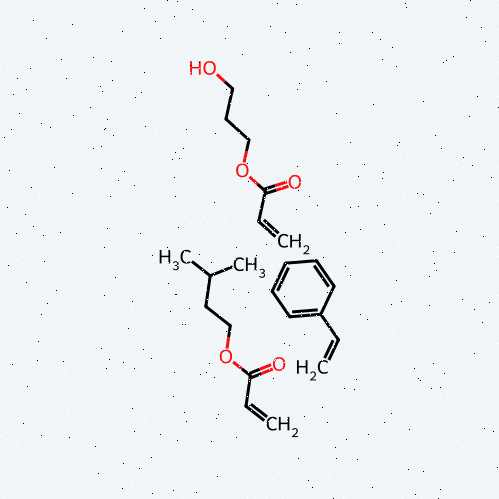 C=CC(=O)OCCC(C)C.C=CC(=O)OCCCO.C=Cc1ccccc1